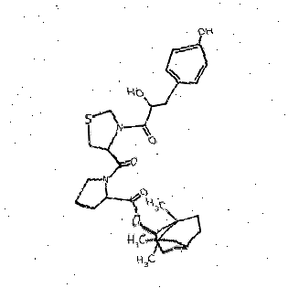 CC1(C)C2CCC1(C)C(OC(=O)C1CCCN1C(=O)C1CSCN1C(=O)C(O)Cc1ccc(O)cc1)C2